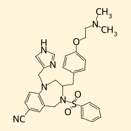 CN(C)CCOc1ccc(CC2CN(Cc3c[nH]cn3)c3ccc(C#N)cc3CN2S(=O)(=O)c2ccccc2)cc1